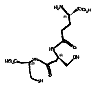 N[C@@H](CCC(=O)N[C@@H](CO)C(=O)N[C@@H](CS)C(=O)O)C(=O)O